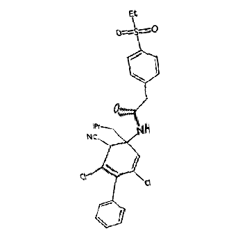 CCS(=O)(=O)c1ccc(CC(=O)NC2(CC(C)C)C=C(Cl)C(c3ccccc3)=C(Cl)C2C#N)cc1